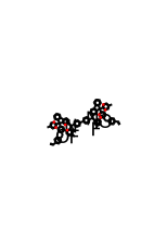 C=Cc1ccc(Oc2ccc(C3(c4ccc(C)cc4)c4ccccc4-c4ccc(N(c5ccc(-c6ccc(N(c7cccc(F)c7)c7ccc8c(c7)C(c7ccc(C)cc7)(c7ccc(Oc9ccc(C=C)cc9)cc7)c7ccccc7-8)cc6)cc5)c5cccc(F)c5)cc43)cc2)cc1